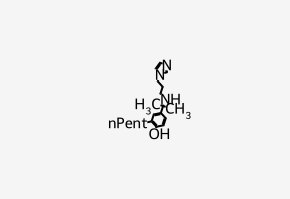 CCCCCc1cc(C(C)(C)NCCCn2ccnc2)ccc1O